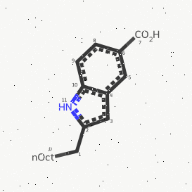 CCCCCCCCCc1cc2cc(C(=O)O)ccc2[nH]1